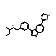 CCC(C)NCc1cccc(-c2n[nH]c3ccc(-c4nc[nH]n4)cc23)c1